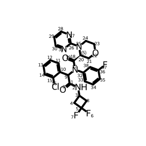 O=C(NC1CC(F)(F)C1)C(c1ccccc1Cl)N(C(=O)[C@@H]1COCCN1c1ncccn1)c1cccc(F)c1